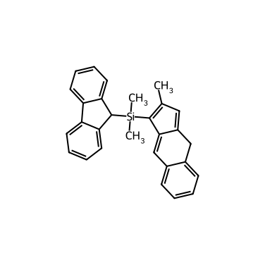 CC1=C([Si](C)(C)C2c3ccccc3-c3ccccc32)C2=Cc3ccccc3CC2=C1